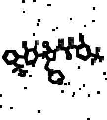 CP(C)(=O)c1ccccc1-c1ccc(N2C(=O)[C@H](NC(=O)Nc3ccc(C(F)(F)F)cc3F)C[C@H]2CN2CCOCC2)c(F)c1F